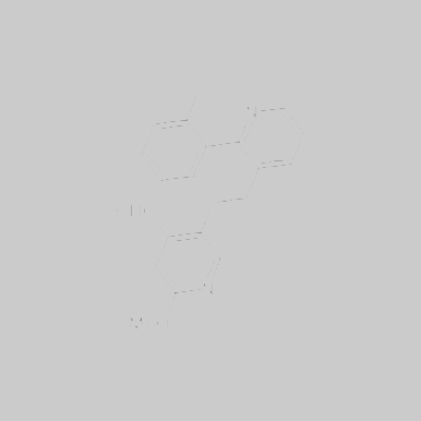 COc1cc(C=O)c(OCc2cccnc2-c2ccccc2C)cn1